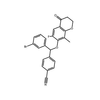 Cc1c(OC(c2ccc(C#N)cc2)c2cccc(Br)c2)c(F)cc2c1OCCC2=O